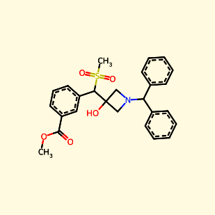 COC(=O)c1cccc(C(C2(O)CN(C(c3ccccc3)c3ccccc3)C2)S(C)(=O)=O)c1